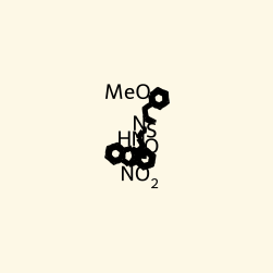 COc1ccccc1Cc1csc(NC(=O)C2(C)CC3([N+](=O)[O-])c4ccccc4C2c2ccccc23)n1